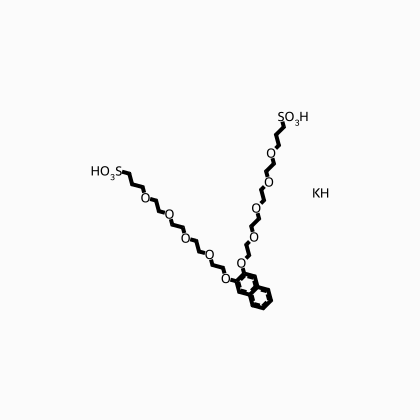 O=S(=O)(O)CCCOCCOCCOCCOCCOc1cc2ccccc2cc1OCCOCCOCCOCCOCCCS(=O)(=O)O.[KH]